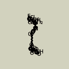 CC(Oc1cc(-c2cnn(C3CCN(C(=O)CCCCCCCOOc4cccc5c4C(=O)N(C4CCC(=O)NC4=O)C5=O)CC3)c2)cnc1N)c1c(Cl)ccc(F)c1Cl